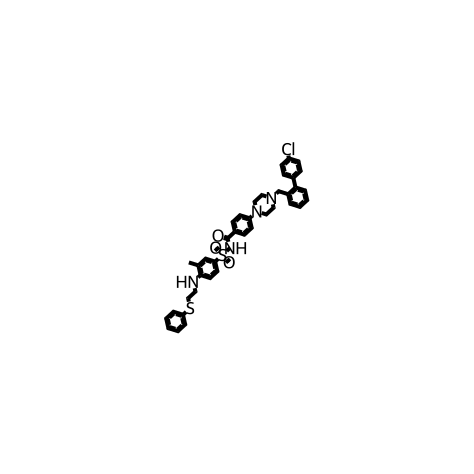 Cc1cc(S(=O)(=O)NC(=O)c2ccc(N3CCN(Cc4ccccc4-c4ccc(Cl)cc4)CC3)cc2)ccc1NCCSc1ccccc1